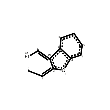 C/C=c1/oc2ccccc2/c1=C/CC